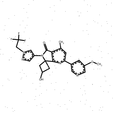 COc1cncc(-c2cc(C)c3c(n2)C2(CC(O)C2)N(c2cnn(CC(F)(F)F)c2)C3=O)c1